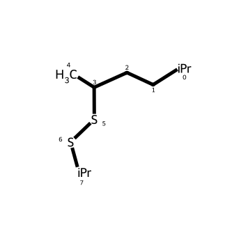 CC(C)CCC(C)SSC(C)C